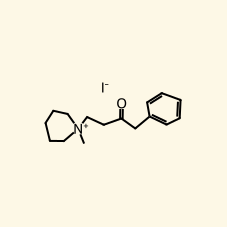 C[N+]1(CCC(=O)Cc2ccccc2)CCCCC1.[I-]